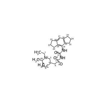 CCN(CC(C)CS(=O)(=O)NC(=O)Nc1c2c(cc3c1CCC3)CCC2)C(C)C